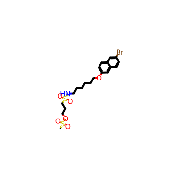 CS(=O)(=O)OCCCS(=O)(=O)NCCCCCCOc1ccc2cc(Br)ccc2c1